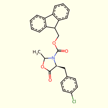 CC1OC(=O)[C@H](Cc2ccc(Cl)cc2)N1C(=O)OCC1c2ccccc2-c2ccccc21